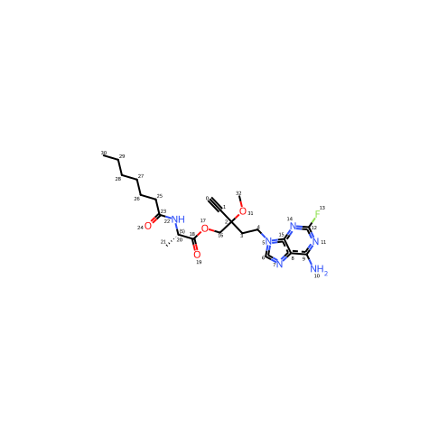 C#CC(CCn1cnc2c(N)nc(F)nc21)(COC(=O)[C@H](C)NC(=O)CCCCCC)OC